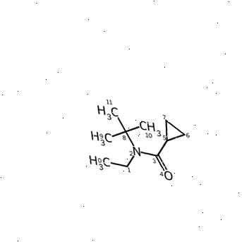 CCN(C(=O)C1CC1)C(C)(C)C